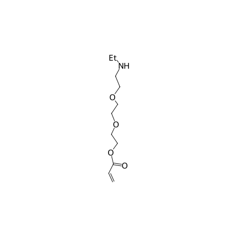 C=CC(=O)OCCOCCOCCNCC